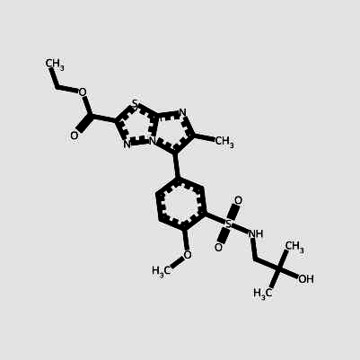 CCOC(=O)c1nn2c(-c3ccc(OC)c(S(=O)(=O)NCC(C)(C)O)c3)c(C)nc2s1